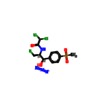 CS(=O)(=O)c1ccc([C@@H](O)[C@@H](CF)NC(=O)C(Cl)Cl)cc1.[N-]=[N+]=[N-]